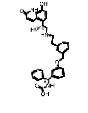 O=C(O)N[C@@H](c1ccccc1)c1cccc(OCc2cccc(CCNC[C@H](O)c3ccc(O)c4[nH]c(=O)ccc34)c2)c1